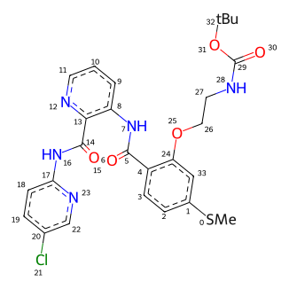 CSc1ccc(C(=O)Nc2cccnc2C(=O)Nc2ccc(Cl)cn2)c(OCCNC(=O)OC(C)(C)C)c1